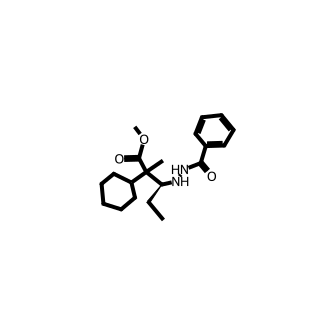 CC[C@H](NNC(=O)c1ccccc1)C(C)(C(=O)OC)C1CCCCC1